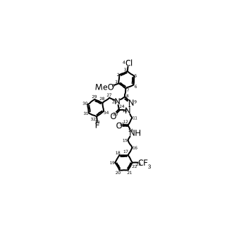 COc1cc(Cl)ccc1-c1nn(CC(=O)NCCc2ccccc2C(F)(F)F)c(=O)n1Cc1cccc(F)c1